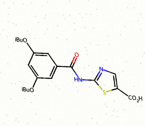 CC(C)COc1cc(OCC(C)C)cc(C(=O)Nc2ncc(C(=O)O)s2)c1